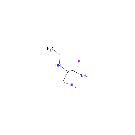 CCNC(CN)CN.I